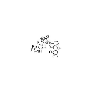 COc1cc(C)n(C)c(=O)c1-c1ccc(C[C@H](NC(=O)c2c(F)cc(N[C@H](C)C(F)(F)F)cc2F)C(=O)O)c2c1OCCC2